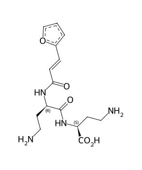 NCC[C@H](NC(=O)[C@@H](CCN)NC(=O)C=Cc1ccco1)C(=O)O